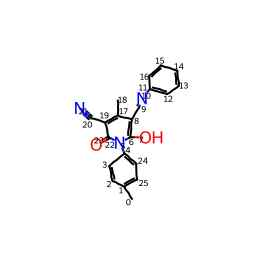 Cc1ccc(-n2c(O)c(C=Nc3ccccc3)c(C)c(C#N)c2=O)cc1